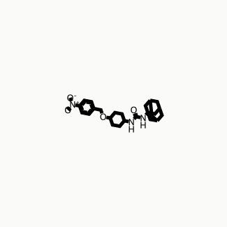 O=C(NC1CCC(OCc2ccc([N+](=O)[O-])cc2)CC1)NC12CC3CC(CC(C3)C1)C2